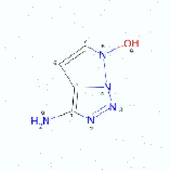 Nc1nnn2c1ccn2O